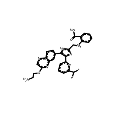 NCCOc1cnc2ccc(-c3[nH]c(CNc4ccccc4C(=O)O)nc3-c3cccc(C(F)F)n3)cc2n1